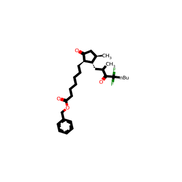 CCCCC(F)(F)C(=O)C(C)C[C@H]1[C@H](C)CC(=O)[C@@H]1CCCCCCC(=O)OCc1ccccc1